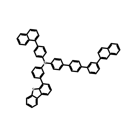 c1cc(-c2ccc(-c3ccc(N(c4ccc(-c5cccc6ccccc56)cc4)c4cccc(-c5cccc6c5sc5ccccc56)c4)cc3)cc2)cc(-c2ccc3ccccc3c2)c1